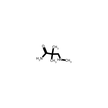 CNCC(C)(C)C(N)=O